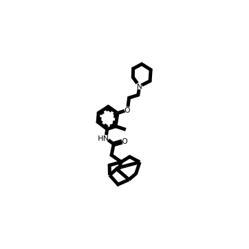 Cc1c(NC(=O)CC23CC4CC(CC(C4)C2)C3)cccc1OCCN1CCCCC1